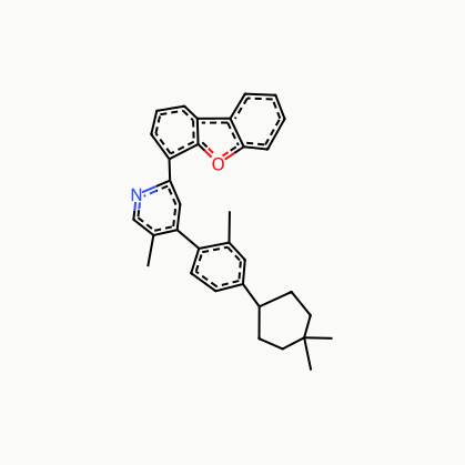 Cc1cc(C2CCC(C)(C)CC2)ccc1-c1cc(-c2cccc3c2oc2ccccc23)ncc1C